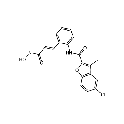 Cc1c(C(=O)Nc2ccccc2C=CC(=O)NO)oc2ccc(Cl)cc12